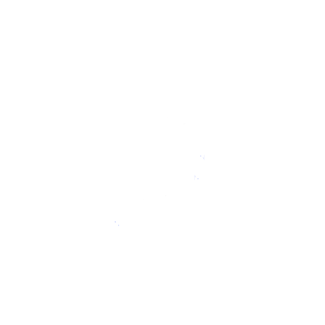 CCOC(=O)c1c2c(nn1C)C(=O)/C(=C/N(C)C)CCC2